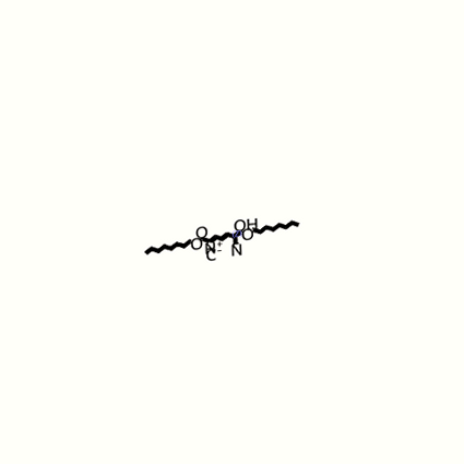 [C-]#[N+]C(=CC=C/C(C#N)=C(\O)OCCCCCCCC)C(=O)OCCCCCCCC